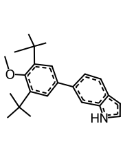 COc1c(C(C)(C)C)cc(-c2ccc3cc[nH]c3c2)cc1C(C)(C)C